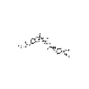 COC(=O)Cc1ccc(CS(=O)(=O)NCC(=O)NCC(=O)NCc2ccc(C(=N)N)cc2)cc1